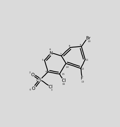 O=S(=O)(Cl)c1cnc2cc(Br)cc(F)c2c1Cl